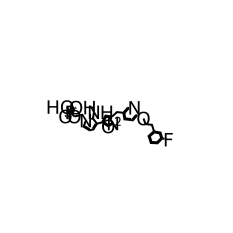 NC1C(c2cc(Cc3ccc(OCCc4cccc(F)c4)nc3)no2)=CC=CN1COP(=O)(O)O